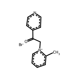 Cc1cccc[n+]1CC(=O)c1ccncc1.[Br-]